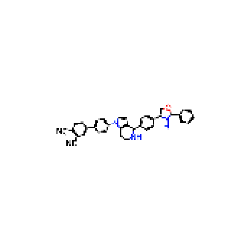 N#Cc1ccc(-c2ccc(-n3ccc4c3CCNC4c3ccc(C4COC(c5ccccc5)N4)cc3)cc2)cc1C#N